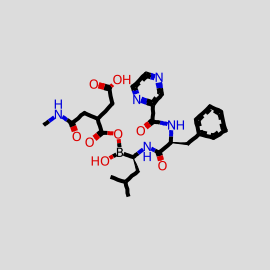 CNC(=O)CC(CC(=O)O)C(=O)OB(O)[C@H](CC(C)C)NC(=O)[C@H](Cc1ccccc1)NC(=O)c1cnccn1